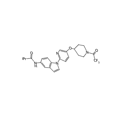 CC(C)C(=O)Nc1ccc2c(ccn2-c2ccc(OC3CCN(C(=O)C(F)(F)F)CC3)cn2)c1